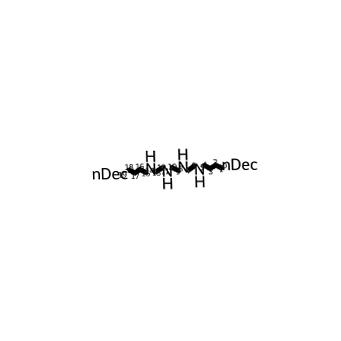 CCCCCCCCCCCCCCNCCNCCNCCNCCCCCCCCCCCCCC